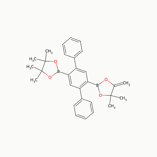 C=C1OB(c2cc(-c3ccccc3)c(B3OC(C)(C)C(C)(C)O3)cc2-c2ccccc2)OC1(C)C